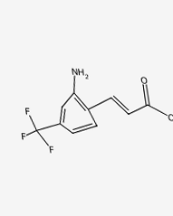 COC(=O)C=Cc1ccc(C(F)(F)F)cc1N